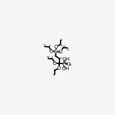 CCOC(CC[Si](OCC)(OCC)OCC)(OCC)P(=O)(O)O